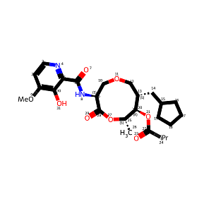 COc1ccnc(C(=O)N[C@H]2COC[C@H](CC3CCCC3)[C@@H](OC(=O)C(C)C)[C@H](C)OC2=O)c1O